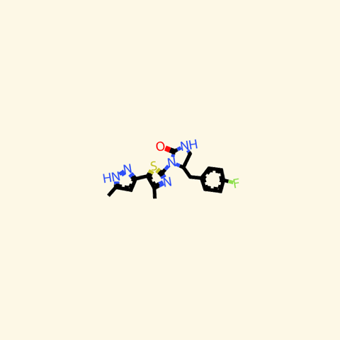 Cc1cc(-c2sc(N3C(=O)NCC3Cc3ccc(F)cc3)nc2C)n[nH]1